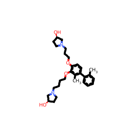 Cc1ccccc1-c1ccc(OCCCN2CC[C@@H](O)C2)c(OCCCCN2CC[C@@H](O)C2)c1C